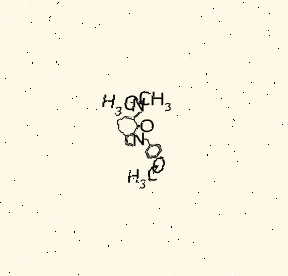 COc1ccc(Cn2ccc3c2C(=O)/C(=C/N(C)C)CCC3)cc1